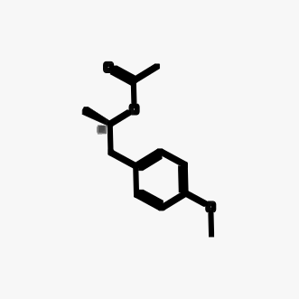 COc1ccc(C[C@@H](C)OC(C)=O)cc1